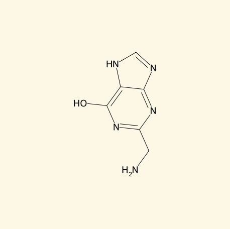 NCc1nc(O)c2[nH]cnc2n1